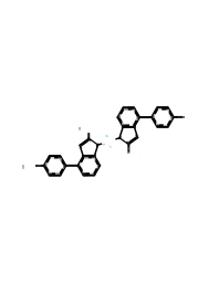 CCCC1=Cc2c(-c3ccc(C(C)C)cc3)cccc2[CH]1[Zr]([Cl])([Cl])[CH]1C(CCC)=Cc2c(-c3ccc(C(C)C)cc3)cccc21